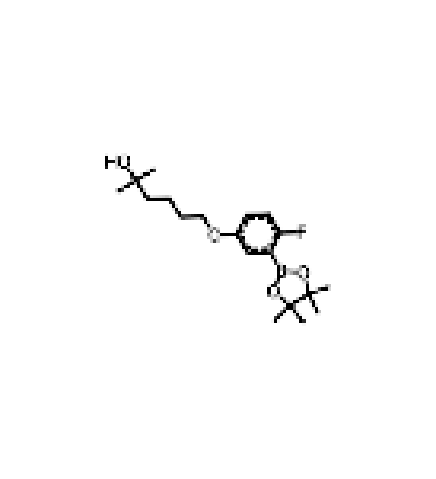 CC(C)(O)CCCCOc1ccc(F)c(B2OC(C)(C)C(C)(C)O2)c1